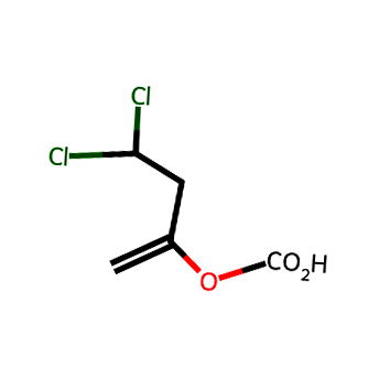 C=C(CC(Cl)Cl)OC(=O)O